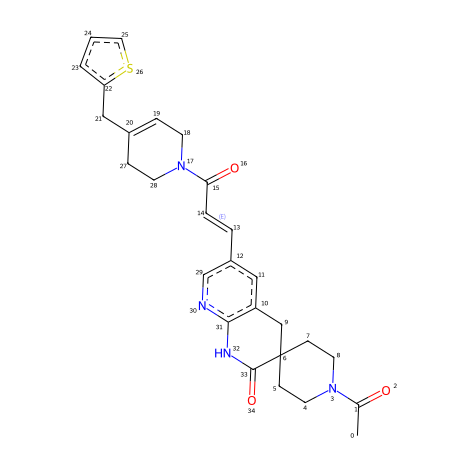 CC(=O)N1CCC2(CC1)Cc1cc(/C=C/C(=O)N3CC=C(Cc4cccs4)CC3)cnc1NC2=O